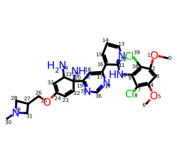 COc1cc(OC)c(Cl)c(Nc2ncccc2-c2cc(C3(N)C=CC(OCC4CN(C)C4)=CC3N)ncn2)c1Cl